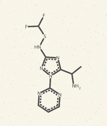 CC(N)c1nc(NSC(F)F)nn1-c1ncccn1